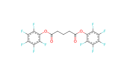 O=C(CCCC(=O)Oc1c(F)c(F)c(F)c(F)c1F)Oc1c(F)c(F)c(F)c(F)c1F